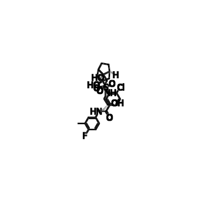 Cc1cc(NC(=O)c2ccc(Cl)c(S(=O)(=O)[C@]3(O)CC4CC[C@@H](C3)[C@@]4(O)CC(=O)NC[C@@H](C)O)c2)ccc1F